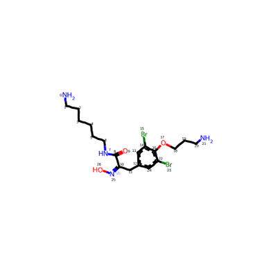 NCCCCCCNC(=O)/C(Cc1cc(Br)c(OCCCN)c(Br)c1)=N\O